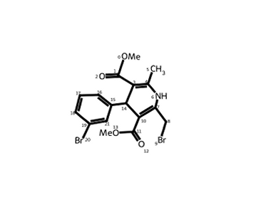 COC(=O)C1=C(C)NC(CBr)=C(C(=O)OC)C1c1cccc(Br)c1